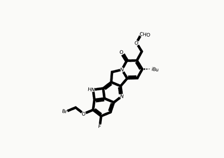 CC[C@@H](C)c1cc2n(c(=O)c1COC=O)Cc1c-2nc2cc(F)c(OCBr)c3c2c1N3